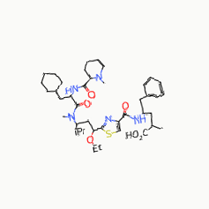 CCOC(CC(C(C)C)N(C)C(=O)C(CC1CCCCC1)NC(=O)[C@H]1CCCCN1C)c1nc(C(=O)NC(Cc2ccccc2)CC(C)C(=O)O)cs1